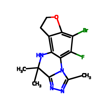 Cc1nnc2n1-c1c(F)c(Br)c3c(c1NC2(C)C)CCO3